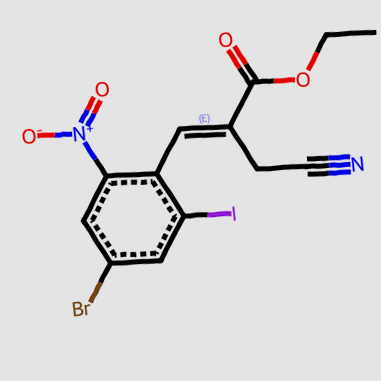 CCOC(=O)/C(=C/c1c(I)cc(Br)cc1[N+](=O)[O-])CC#N